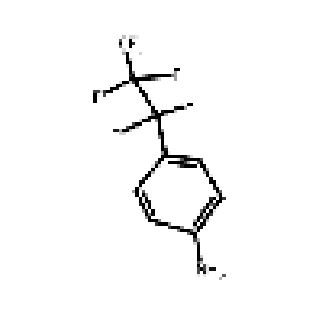 Nc1ccc(C(F)(F)C(F)(F)C(F)(F)F)cc1